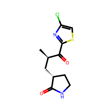 C[C@H](C[C@@H]1CCNC1=O)C(=O)c1nc(Cl)cs1